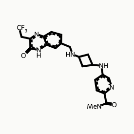 CNC(=O)c1ccc(NC2CC(NCc3ccc4nc(CC(F)(F)F)c(=O)[nH]c4c3)C2)cn1